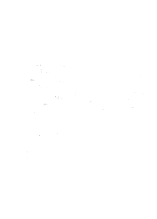 c1ccc2c(-c3ccc(-c4ccc(N(c5ccc6sc7c8ccccc8ccc7c6c5)c5cc6ccccc6c6ccccc56)cc4)cc3)cccc2c1